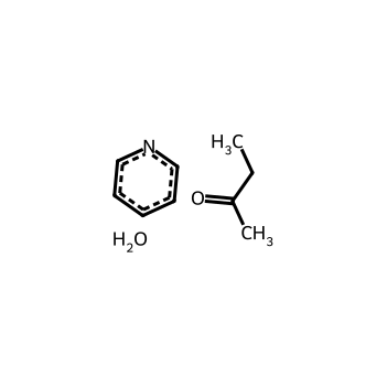 CCC(C)=O.O.c1ccncc1